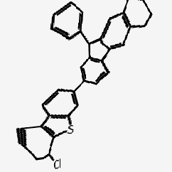 ClC1CC#Cc2c1sc1cc(-c3ccc4c(c3)C(c3ccccc3)c3cc5c(cc3-4)CCCC5)ccc21